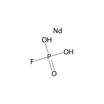 O=P(O)(O)F.[Nd]